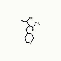 CN[C@@H](CC1CCOCC1)C(=O)O